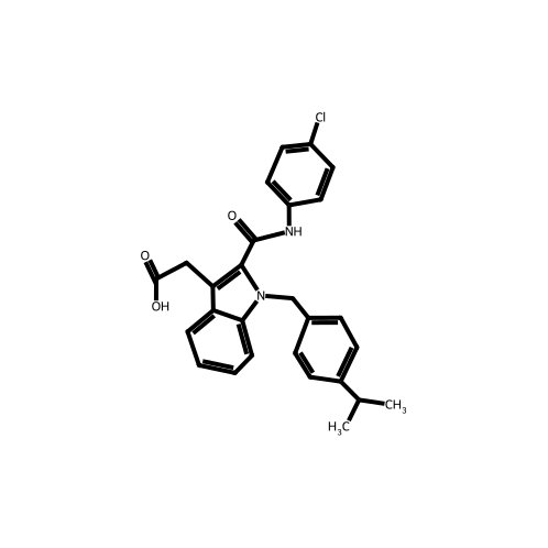 CC(C)c1ccc(Cn2c(C(=O)Nc3ccc(Cl)cc3)c(CC(=O)O)c3ccccc32)cc1